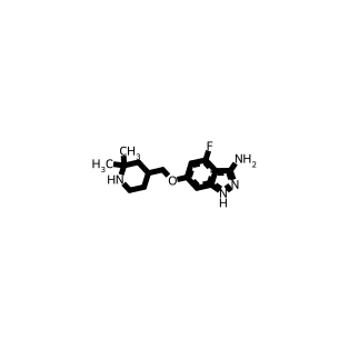 CC1(C)CC(COc2cc(F)c3c(N)n[nH]c3c2)CCN1